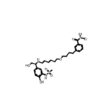 CCN(CC)C(=O)c1cccc(CCCCOCCCCCCNC(CO)c2ccc(O)c(NS(C)(=O)=O)c2)c1